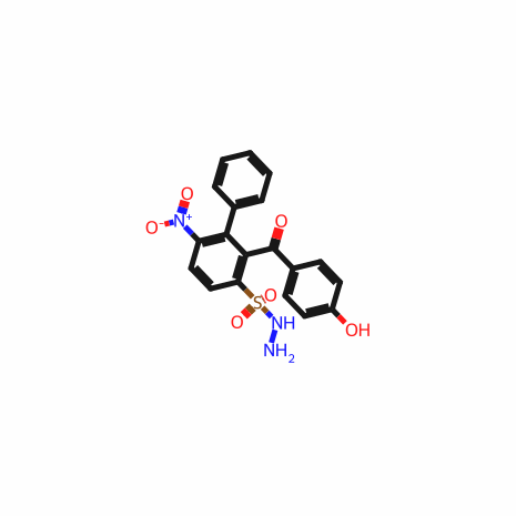 NNS(=O)(=O)c1ccc([N+](=O)[O-])c(-c2ccccc2)c1C(=O)c1ccc(O)cc1